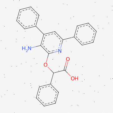 Nc1c(-c2ccccc2)cc(-c2ccccc2)nc1OC(C(=O)O)c1ccccc1